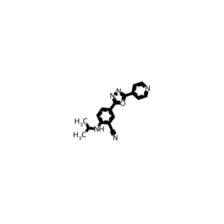 CC(C)Nc1ccc(-c2nnc(-c3ccncc3)o2)cc1C#N